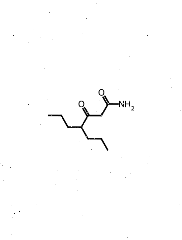 CCCC(CCC)C(=O)CC(N)=O